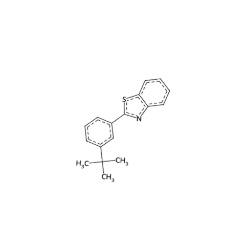 CC(C)(C)c1cccc(-c2nc3ccccc3s2)c1